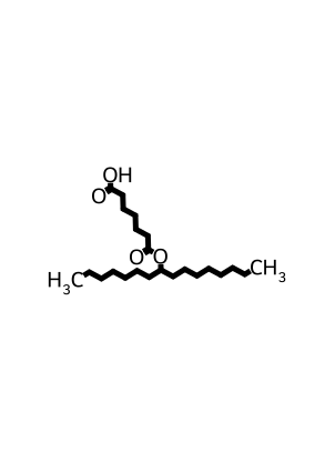 CCCCCCCCC(CCCCCCC)OC(=O)CCCCCC(=O)O